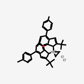 Cc1ccc(-c2cccc3c2C=C(C(C)(C)C)[CH]3[Hf+2]2([CH]3C(C(C)(C)C)=Cc4c(-c5ccc(C)cc5)cccc43)[CH2][CH2]2)cc1.[Cl-].[Cl-]